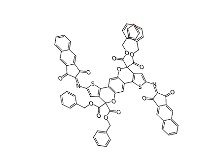 O=C(OCc1ccccc1)C1(C(=O)OCc2ccccc2)Oc2cc3c(cc2-c2sc(N=c4c(=O)c5cc6ccccc6cc5c4=O)cc21)OC(C(=O)OCc1ccccc1)(C(=O)OCc1ccccc1)c1cc(N=c2c(=O)c4cc5ccccc5cc4c2=O)sc1-3